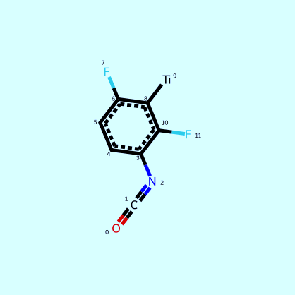 O=C=Nc1ccc(F)[c]([Ti])c1F